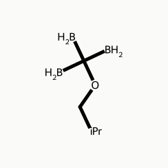 BC(B)(B)OCC(C)C